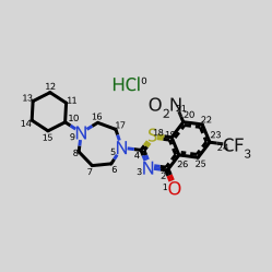 Cl.O=c1nc(N2CCCN(C3CCCCC3)CC2)sc2c([N+](=O)[O-])cc(C(F)(F)F)cc12